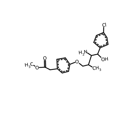 COC(=O)Cc1ccc(OCC(C)C(N)C(O)c2ccc(Cl)cc2)cc1